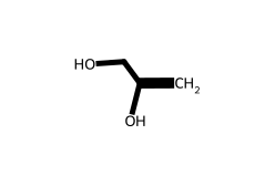 C=C(O)CO